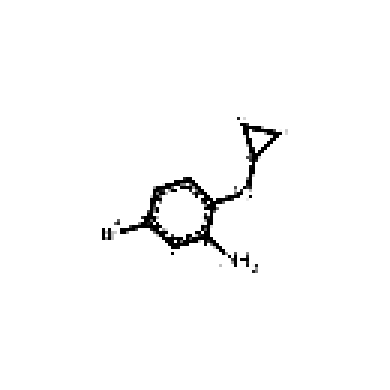 Nc1cc(Br)ccc1OC1CC1